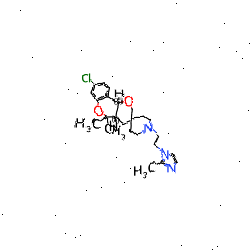 Cc1nccn1CCN1CCC2(CC1)CO[C@@H]1c3ccc(Cl)cc3OC(C)(C)[C@H]1C2